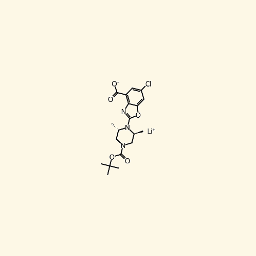 C[C@H]1CN(C(=O)OC(C)(C)C)C[C@H](C)N1c1nc2c(C(=O)[O-])cc(Cl)cc2o1.[Li+]